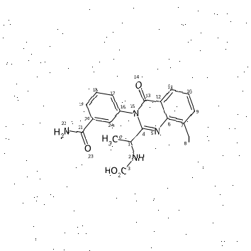 CC(NC(=O)O)c1nc2c(I)cccc2c(=O)n1-c1cccc(C(N)=O)c1